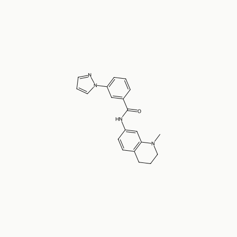 CN1CCCc2ccc(NC(=O)c3cccc(-n4cccn4)c3)cc21